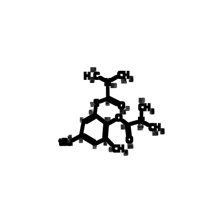 Cc1cc(C(C)(C)C)cc(SC(=O)N(C)C)c1OC(=O)N(C)C